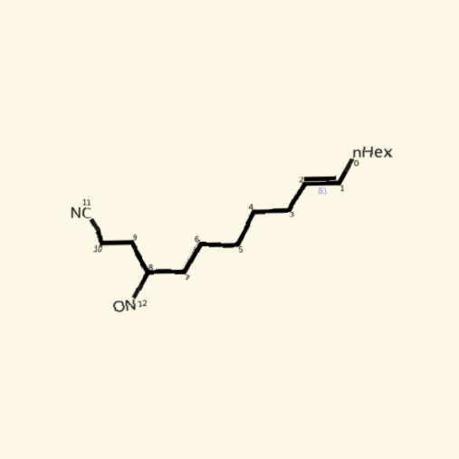 CCCCCC/C=C/CCCCCC(CCC#N)N=O